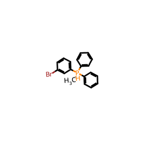 C[PH](c1ccccc1)(c1ccccc1)c1cccc(Br)c1